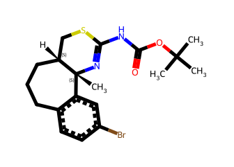 CC(C)(C)OC(=O)NC1=N[C@]2(C)c3cc(Br)ccc3CCC[C@@H]2CS1